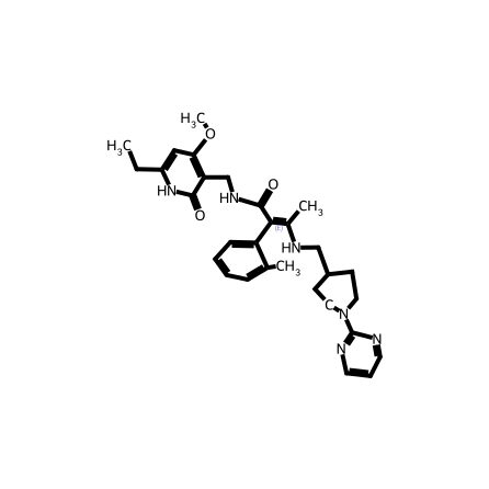 CCc1cc(OC)c(CNC(=O)/C(=C(\C)NCC2CCN(c3ncccn3)CC2)c2ccccc2C)c(=O)[nH]1